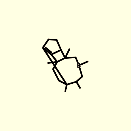 CB1CC(C)C2(C)CCC3(C)C4=C2CCC4C3(C)C1